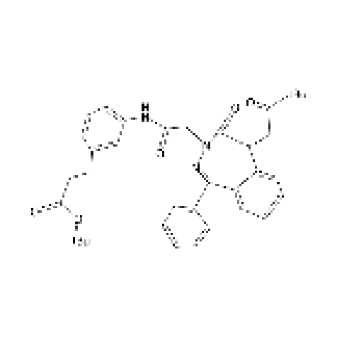 CC(C)(C)OC(=O)CCc1cccc(NC(=O)CN2N=C(c3ccccc3)c3ccccc3C(CC(=O)C(C)(C)C)C2=O)c1